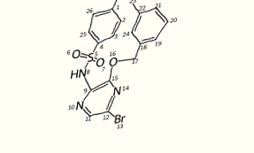 Cc1ccc(S(=O)(=O)Nc2ncc(Br)nc2OCc2cccc(C)c2)cc1